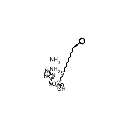 C[C@H](Cn1cnc2c(N)ncnc21)OCP(=O)(O)OCCCSCCCCCCCCCCC#Cc1ccccc1.N